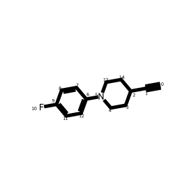 C#CC1CCN(c2ccc(F)cc2)CC1